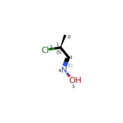 C[C@H](Cl)/C=N/O